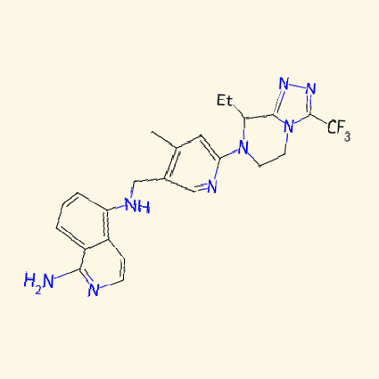 CCC1c2nnc(C(F)(F)F)n2CCN1c1cc(C)c(CNc2cccc3c(N)nccc23)cn1